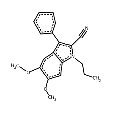 CCCn1c(C#N)c(-c2ccccc2)c2cc(OC)c(OC)cc21